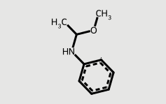 COC(C)Nc1[c]cccc1